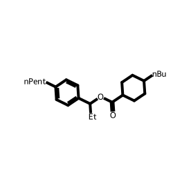 CCCCCc1ccc(C(CC)OC(=O)C2CCC(CCCC)CC2)cc1